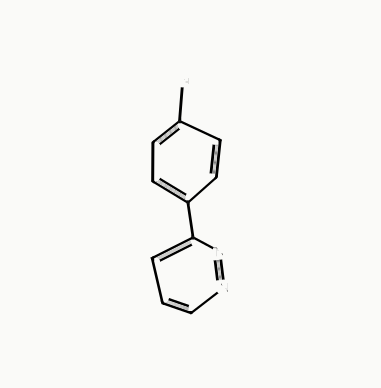 Brc1ccc(-c2cccnn2)cc1